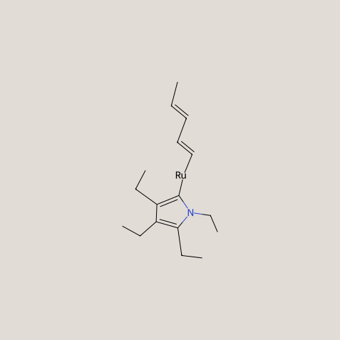 CC=CC=[CH][Ru][c]1c(CC)c(CC)c(CC)n1CC